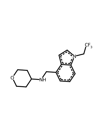 FC(F)(F)Cn1ccc2c(CNC3CCOCC3)cccc21